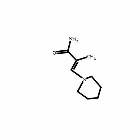 C/C(=C\N1CCCCC1)C(N)=O